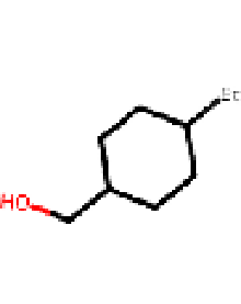 [CH2]CC1CCC(CO)CC1